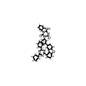 O=c1nc2[nH]c3ccccc3n2c(=O)n1-c1cccc(-c2ccc3oc4cccc(-c5nc(-c6ccccc6)nc(-c6ccccc6)n5)c4c3c2)c1